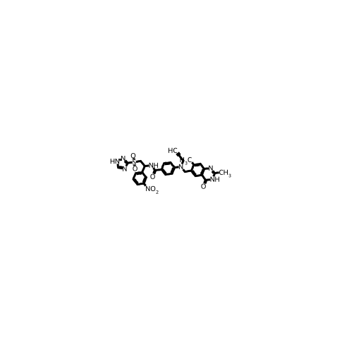 C#CCN(Cc1cc2c(=O)[nH]c(C)nc2cc1C)c1ccc(C(=O)NC(CS(=O)(=O)c2nc[nH]n2)c2cccc([N+](=O)[O-])c2)cc1